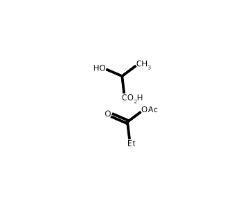 CC(O)C(=O)O.CCC(=O)OC(C)=O